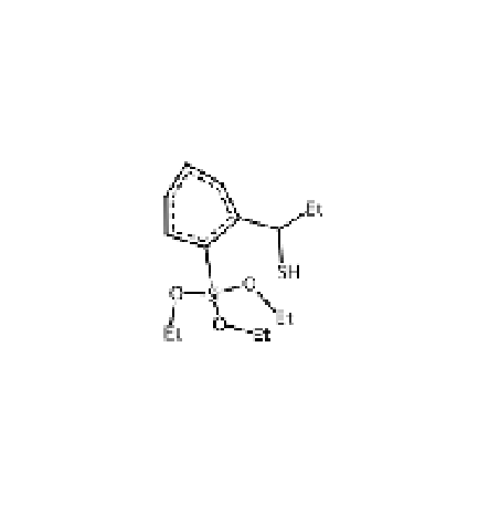 CCO[Si](OCC)(OCC)c1ccccc1C(S)CC